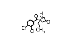 CCCC1(C(=O)c2ccc(Cl)c(Cl)c2)CC(=O)CN1